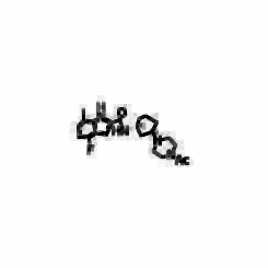 CC(=O)N1CCN([C@@H]2CCC[C@@H](NC(=O)c3cc4c(F)ccc(C)c4[nH]3)C2)CC1